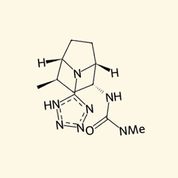 CNC(=O)N[C@@H]1C[C@@H](C)[C@@H]2CC[C@H]1N2c1nnn[nH]1